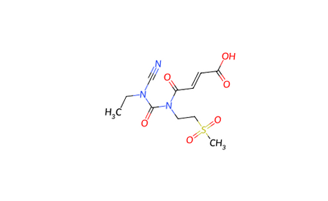 CCN(C#N)C(=O)N(CCS(C)(=O)=O)C(=O)C=CC(=O)O